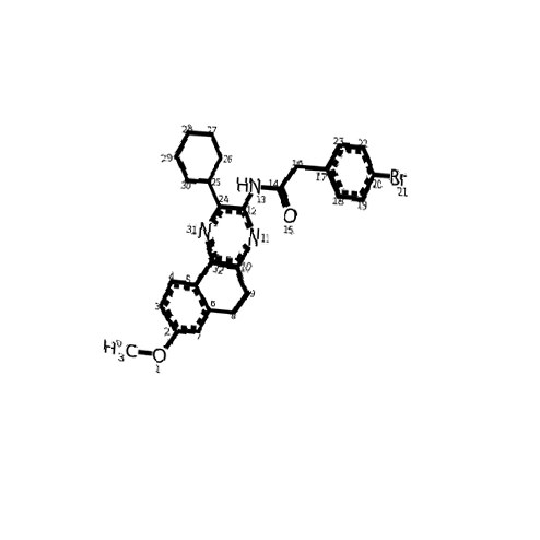 COc1ccc2c(c1)CCc1nc(NC(=O)Cc3ccc(Br)cc3)c(C3CCCCC3)nc1-2